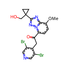 COc1ccc(C(=O)Cc2c(Br)cncc2Br)n2nc(C3(CO)CC3)nc12